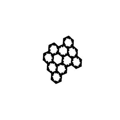 c1cc2cc3ccc4ccc5c6cccc7cc8cccc9c%10cc(c1)c2c1c3c4c5c(c%101)c(c76)c89